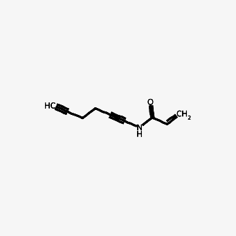 C#CCCC#CNC(=O)C=C